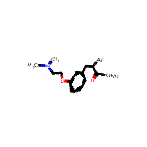 COC(=O)C(Cc1cccc(OCCN(C)C)c1)C(C)=O